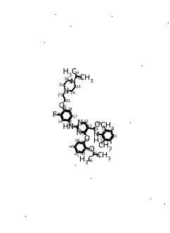 Cc1cccc(C)c1NC(=O)c1cnc(Nc2ccc(OCCN3CCN(C(C)C)CC3)c(F)c2)nc1Oc1ccccc1OC(C)C